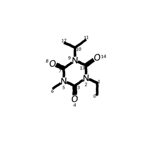 CCn1c(=O)n(C)c(=O)n(C(C)C)c1=O